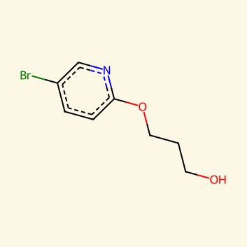 OCCCOc1ccc(Br)cn1